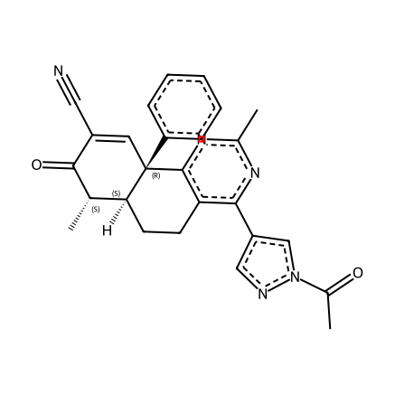 CC(=O)n1cc(-c2nc(C)nc3c2CC[C@H]2[C@H](C)C(=O)C(C#N)=C[C@]32c2ccccc2)cn1